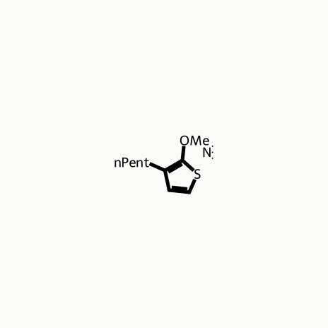 CCCCCc1ccsc1OC.[N]